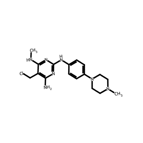 CNc1nc(Nc2ccc(N3CCN(C)CC3)cc2)nc(N)c1CCl